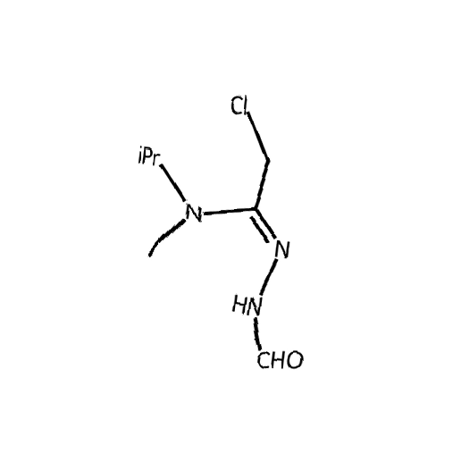 CC(C)N(C)/C(CCl)=N\NC=O